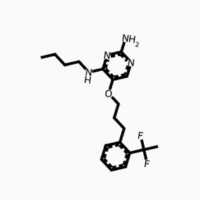 CCCCNc1nc(N)ncc1OCCCc1ccccc1C(C)(F)F